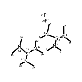 CN(C)[S+](N(C)C)N(C)C.CN(C)[S+](N(C)C)N(C)C.[F-].[F-]